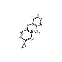 CCc1ccc(Cc2ccccc2)c(C(F)(F)F)c1